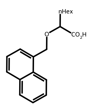 CCCCCCC(OCc1cccc2ccccc12)C(=O)O